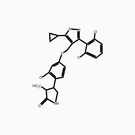 O=C(O)C1C(=O)NCC1c1ccc(OCc2c(-c3c(Cl)cccc3Cl)noc2C2CC2)cc1Cl